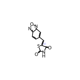 O=C1NC(=O)/C(=C/c2ccc3nonc3c2)S1